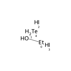 CCO.I.I.[TeH2]